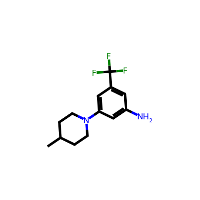 CC1CCN(c2cc(N)cc(C(F)(F)F)c2)CC1